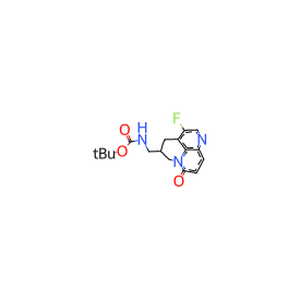 CC(C)(C)OC(=O)NCC1Cc2c(F)cnc3ccc(=O)n(c23)C1